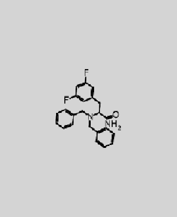 NC(=O)[C@H](Cc1cc(F)cc(F)c1)N(Cc1ccccc1)Cc1ccccc1